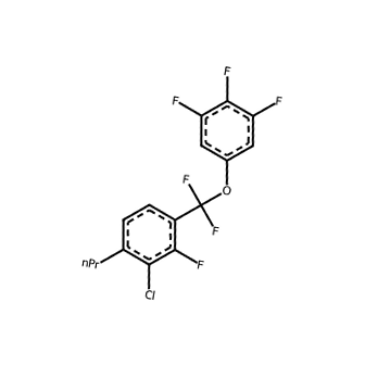 CCCc1ccc(C(F)(F)Oc2cc(F)c(F)c(F)c2)c(F)c1Cl